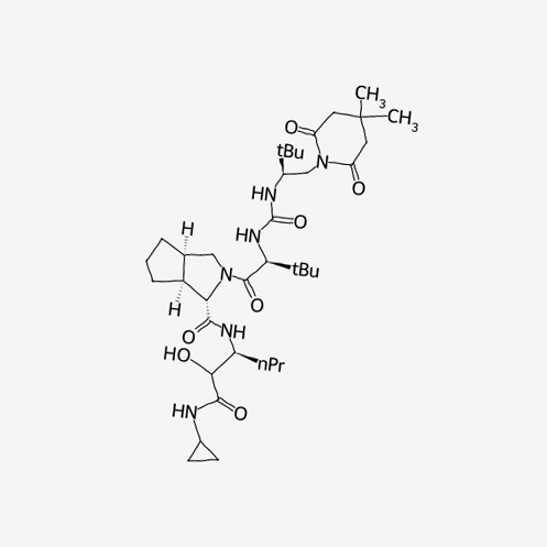 CCC[C@H](NC(=O)[C@@H]1[C@H]2CCC[C@H]2CN1C(=O)[C@@H](NC(=O)N[C@H](CN1C(=O)CC(C)(C)CC1=O)C(C)(C)C)C(C)(C)C)C(O)C(=O)NC1CC1